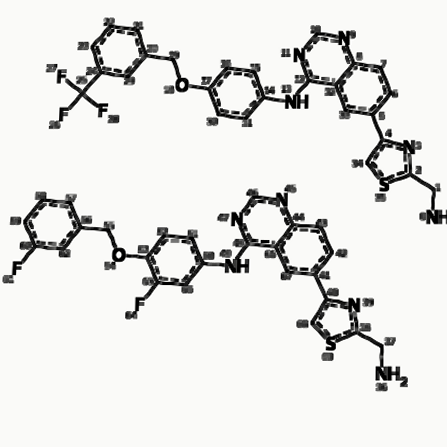 NCc1nc(-c2ccc3ncnc(Nc4ccc(OCc5cccc(C(F)(F)F)c5)cc4)c3c2)cs1.NCc1nc(-c2ccc3ncnc(Nc4ccc(OCc5cccc(F)c5)c(F)c4)c3c2)cs1